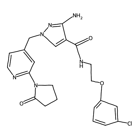 Nc1nn(Cc2ccnc(N3CCCC3=O)c2)cc1C(=O)NCCOc1cccc(Cl)c1